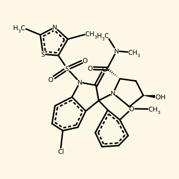 COc1ccccc1C1(N2C[C@H](O)C[C@H]2C(=O)N(C)C)C(=O)N(S(=O)(=O)c2sc(C)nc2C)c2ccc(Cl)cc21